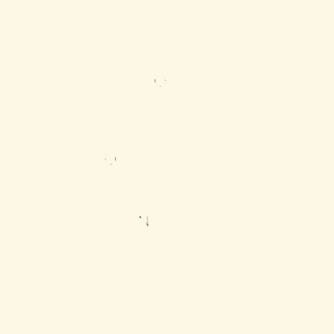 O=C1CCCc2ncoc21